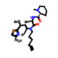 C#CCCCCN(C(=O)C(NC(=O)[C@H]1CCCCN1C)C(C)CC)C(CC(OC(C)=O)c1nc(C(=O)O)cs1)C(C)C